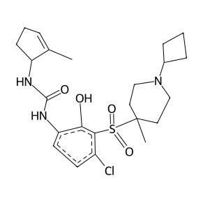 CC1=CCCC1NC(=O)Nc1ccc(Cl)c(S(=O)(=O)C2(C)CCN(C3CCC3)CC2)c1O